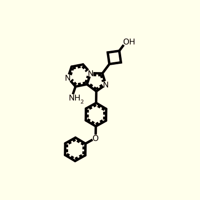 Nc1nccn2c(C3CC(O)C3)nc(-c3ccc(Oc4ccccc4)cc3)c12